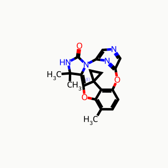 Cc1ccc2c3c1O/C(=C1/N(C(=O)NC1(C)C)c1cncc(n1)O2)C31CC1